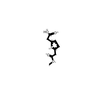 COC(=O)Cc1ccc(CC(=O)O)s1